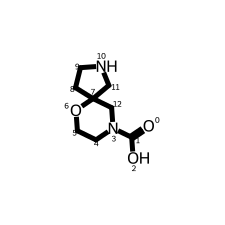 O=C(O)N1CCOC2(CCNC2)C1